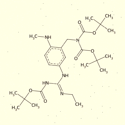 CC/N=C(/NC(=O)OC(C)(C)C)Nc1ccc(NC)c(CN(C(=O)OC(C)(C)C)C(=O)OC(C)(C)C)c1